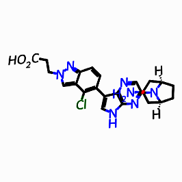 N[C@H]1C[C@H]2CC[C@@H](C1)N2c1cnc2c(-c3ccc4nn(CCC(=O)O)cc4c3Cl)c[nH]c2n1